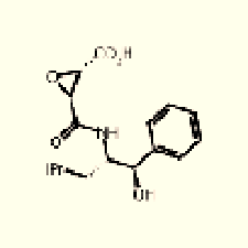 CC(C)C[C@H](NC(=O)[C@H]1O[C@@H]1C(=O)O)[C@H](O)c1ccccc1